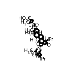 CC(C)C1=C2[C@H]3CC[C@@H]4[C@@]5(C)CC[C@H](OC(=O)[C@H]6C[C@@H](C(=O)O)C6(C)C)C(C)(C)[C@@H]5CC[C@@]4(C)[C@]3(C)CC[C@@]2(CC(=O)N(CCN(C)C)Cc2cc(C(C)C)n[nH]2)CC1=O